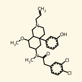 C=CCN1CCC2(c3cccc(O)c3)CC(N(C)C(=O)Cc3ccc(Cl)c(Cl)c3)CC(OC)C2C1